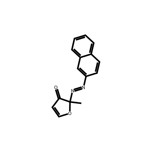 CC1(N=Nc2ccc3ccccc3c2)OC=CC1=O